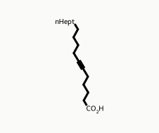 CCCCCCCCCCCC#CCCCCC(=O)O